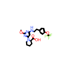 COc1nc(NCCc2ccc(OC(F)(F)F)cc2)cc(N2CCCCC2C(=O)O)n1